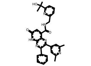 Cc1cc(-c2nc3c(C(=O)NCc4cccc(C(C)(C)O)n4)cc(=O)[nH]c3nc2-c2ccccc2)cc(C)n1